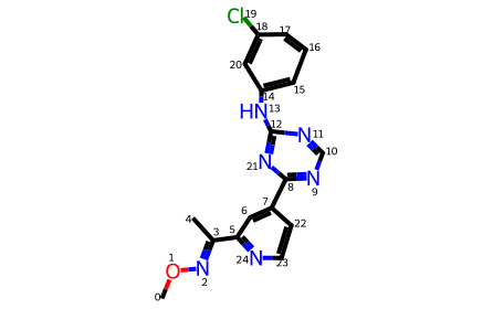 CON=C(C)c1cc(-c2ncnc(Nc3cccc(Cl)c3)n2)ccn1